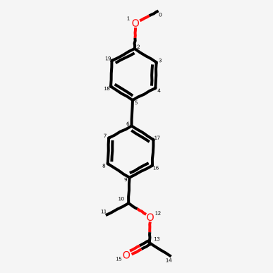 COc1ccc(-c2ccc(C(C)OC(C)=O)cc2)cc1